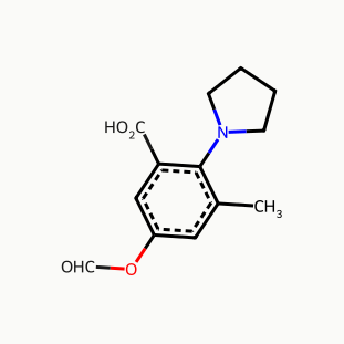 Cc1cc(OC=O)cc(C(=O)O)c1N1CCCC1